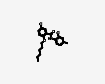 CCCCCCOc1ccc(Cl)cc1C(=O)Nc1ccc(C)cc1Cl